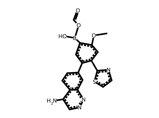 COc1cc(-c2nccs2)c(-c2ccc3c(N)cnnc3c2)cc1B(O)OC=O